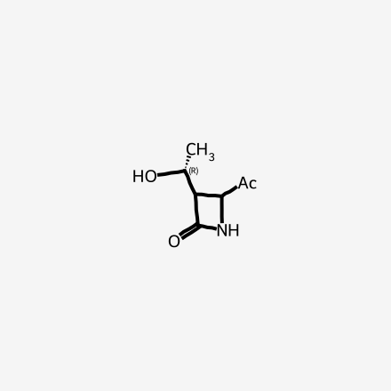 CC(=O)C1NC(=O)C1[C@@H](C)O